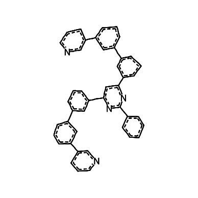 c1ccc(-c2nc(-c3cccc(-c4cccc(-c5cccnc5)c4)c3)cc(-c3cccc(-c4cccc(-c5cccnc5)c4)c3)n2)cc1